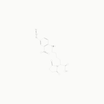 [N-]=[N+]=Nc1ccc(NCCCCC(C(=O)O)N2C(=O)CCC2=O)c([N+](=O)[O-])c1